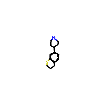 c1cc2c(cc1C1CC[N]CC1)SCCC2